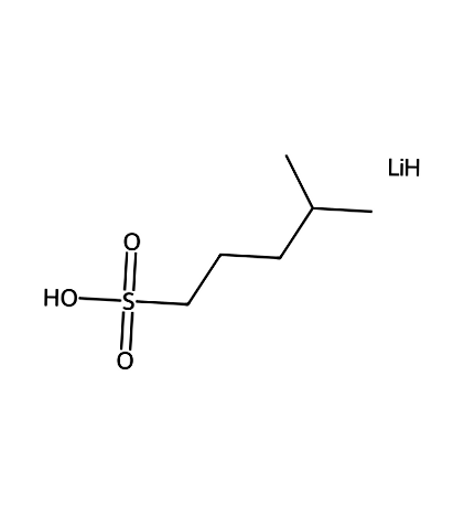 CC(C)CCCS(=O)(=O)O.[LiH]